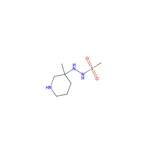 CC1(NNS(C)(=O)=O)CCCNC1